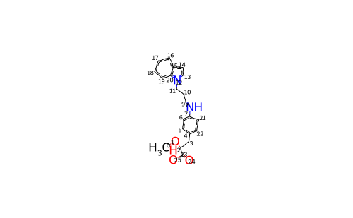 COC(Cc1ccc(NCCCn2ccc3ccccc32)cc1)C(=O)O